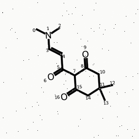 CN(C)/C=C/C(=O)C1C(=O)CC(C)(C)CC1=O